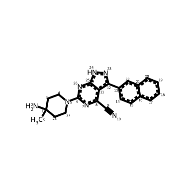 CC1(N)CCN(c2nc(C#N)c3c(-c4ccc5ccccc5c4)n[nH]c3n2)CC1